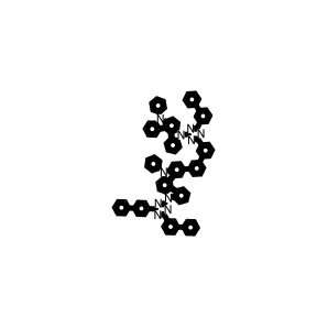 c1ccc(-c2ccc(-c3nc(-c4cccc(-c5ccccc5)c4)nc(-n4c5ccccc5c5c6c7cc(-c8cccc(-c9cccc(-c%10nc(-c%11cccc(-c%12ccccc%12)c%11)nc(-n%11c%12ccccc%12c%12c%13c%14ccccc%14n(-c%14ccccc%14)c%13ccc%12%11)n%10)c9)c8)ccc7n(-c7ccccc7)c6ccc54)n3)cc2)cc1